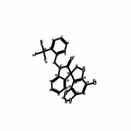 O=C1N(Cc2ncccc2C(F)(F)F)c2ccccc2C12COc1c(Cl)cc3c(c12)OCCO3